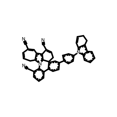 N#CC1=Cc2c3c(n(-c4c(C#N)cccc4-c4ccc(-c5ccc(-n6c7c(c8ccccc86)CCC=C7)cc5)cc4)c2CC=C1)CCC=C3C#N